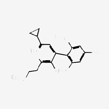 C=C(/C=C(\C(F)=C(/F)CCC(=O)OCC)c1c(C)cc(C)cc1C)C1CC1